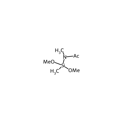 CO[Si](C)(OC)N(C)C(C)=O